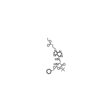 CCOC(=O)CCCn1cnc2c(NCC(NC(=O)OCc3ccccc3)C(=O)OC(C)(C)C)ncnc21